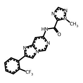 Cn1ncnc1C(=O)Nc1cc2nc(-c3ccccc3C(F)(F)F)cn2cn1